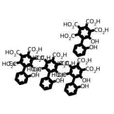 O=C(O)c1c(O)c(-c2ccccc2O)c(C(=O)O)c(C(=O)O)c1C(=O)O.O=C(O)c1c(O)c(-c2ccccc2O)c(C(=O)O)c(C(=O)O)c1C(=O)O.O=C(O)c1c(O)c(-c2ccccc2O)c(C(=O)O)c(C(=O)O)c1C(=O)O.O=C(O)c1c(O)c(-c2ccccc2O)c(C(=O)O)c(C(=O)O)c1C(=O)O.[Eu]